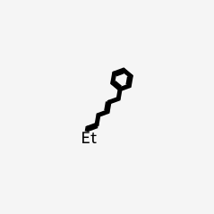 [CH2]C/C=C/C/C=C/Cc1ccccc1